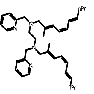 CCC/C=C/C=C\C=C(/C)CN(CCN(C/C(C)=C/C=C\C=C\CCC)Cc1ccccn1)Cc1ccccn1